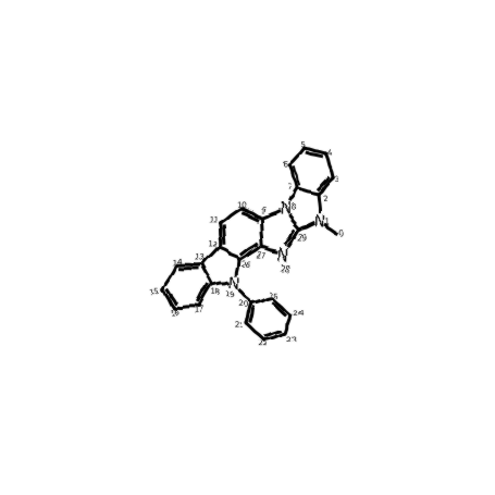 Cn1c2ccccc2n2c3ccc4c5ccccc5n(-c5ccccc5)c4c3nc12